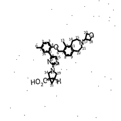 Cc1ccc(OCc2ccc3c(c2C)CCN(C2COC2)CC3)c(-c2csc(N3C[C@@H]4C[C@]4(C(=O)O)C3)n2)c1